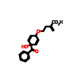 C=C(CCOC1C=CC(O)(C(=O)c2ccccc2)C=C1)C(=O)O